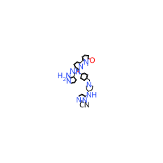 Cn1c(-c2ccc3nc(-c4cccnc4N)n(-c4ccc(CN5CCC(Nc6ccnc(C#N)n6)CC5)cc4)c3n2)cccc1=O